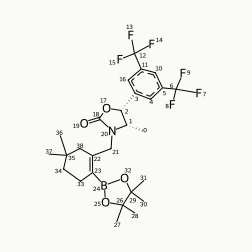 C[C@H]1[C@@H](c2cc(C(F)(F)F)cc(C(F)(F)F)c2)OC(=O)N1CC1=C(B2OC(C)(C)C(C)(C)O2)CCC(C)(C)C1